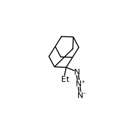 CCC1(N=[N+]=[N-])C2CC3CC(C2)CC1C3